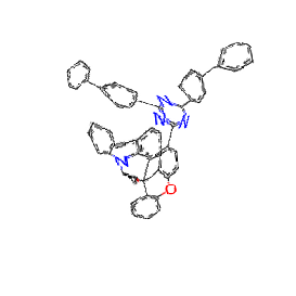 c1ccc(-c2ccc(-c3nc(-c4ccc(-c5ccccc5)cc4)nc(-c4ccc5c(c4)C4(c6ccccc6O5)c5ccccc5-n5c6ccccc6c6cccc4c65)n3)cc2)cc1